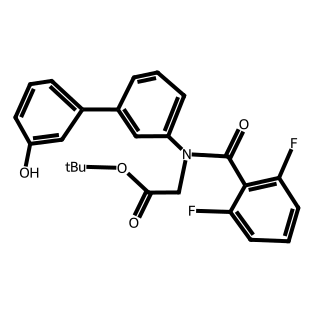 CC(C)(C)OC(=O)CN(C(=O)c1c(F)cccc1F)c1cccc(-c2cccc(O)c2)c1